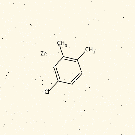 [CH2]c1ccc(Cl)cc1C.[Zn]